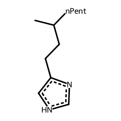 CCCCCC(C)CCc1c[nH]cn1